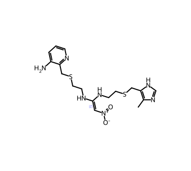 Cc1nc[nH]c1CSCCN/C(=C\[N+](=O)[O-])NCCSCc1ncccc1N